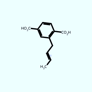 C/C=C/Cc1cc(C(=O)O)ccc1C(=O)O